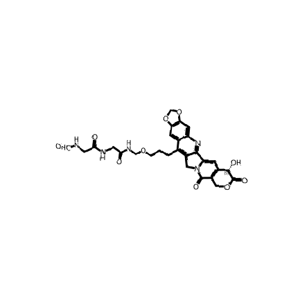 O=CNCC(=O)NCC(=O)NCOCCCc1c2c(nc3cc4c(cc13)OCO4)-c1cc3c(c(=O)n1C2)COC(=O)[C@H]3O